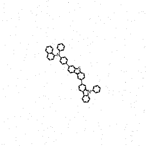 c1ccc(N(c2ccc(-c3ccc4c(c3)sc3ccc(-c5ccc6c7ccccc7n(-c7ccccc7)c6c5)cc34)cc2)c2cccc3ccccc23)cc1